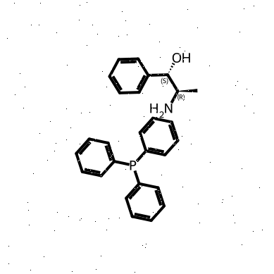 C[C@@H](N)[C@@H](O)c1ccccc1.c1ccc(P(c2ccccc2)c2ccccc2)cc1